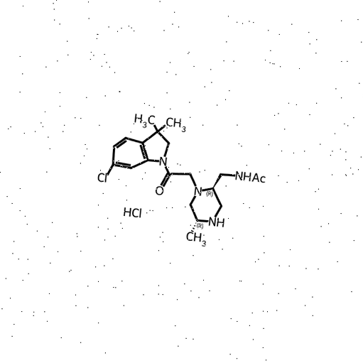 CC(=O)NC[C@H]1CN[C@H](C)CN1CC(=O)N1CC(C)(C)c2ccc(Cl)cc21.Cl